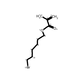 C=C(C)C(=O)OCCCCCCBr